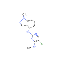 CCNc1nc(Nc2cccc3c2cnn3C)ncc1Cl